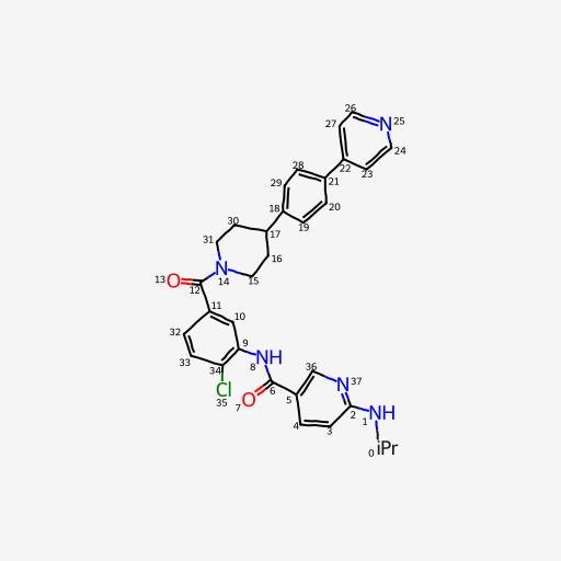 CC(C)Nc1ccc(C(=O)Nc2cc(C(=O)N3CCC(c4ccc(-c5ccncc5)cc4)CC3)ccc2Cl)cn1